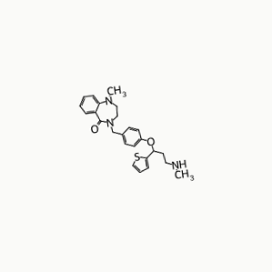 CNCCC(Oc1ccc(CN2CCN(C)c3ccccc3C2=O)cc1)c1cccs1